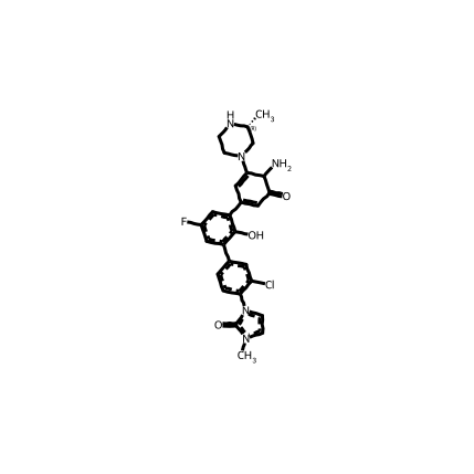 C[C@@H]1CN(C2=CC(c3cc(F)cc(-c4ccc(-n5ccn(C)c5=O)c(Cl)c4)c3O)=CC(=O)C2N)CCN1